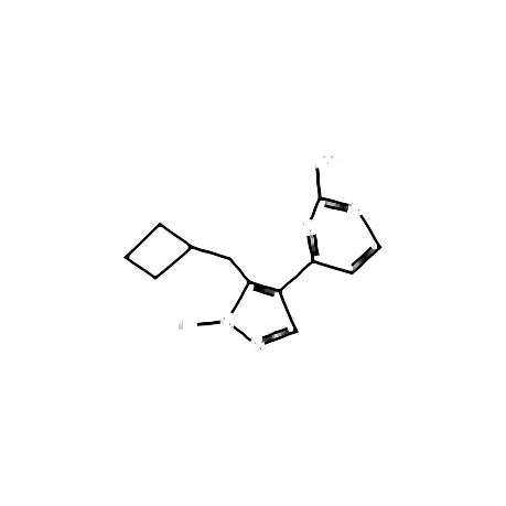 CSc1nccc(-c2cnn(C(C)C)c2CC2CCC2)n1